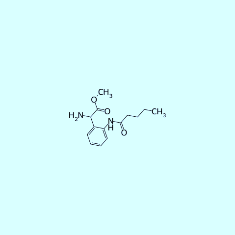 CCCCC(=O)Nc1ccccc1C(N)C(=O)OC